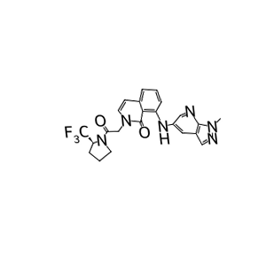 Cn1ncc2cc(Nc3cccc4ccn(CC(=O)N5CCC[C@H]5C(F)(F)F)c(=O)c34)cnc21